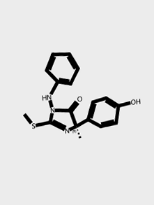 CSC1=N[C@](C)(c2ccc(O)cc2)C(=O)N1Nc1ccccc1